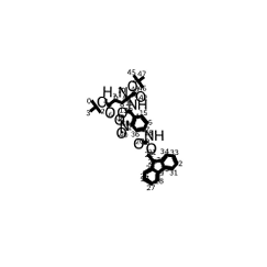 CC(C)(C)OC(=O)CC[C@@](N)(NC(=O)c1ccc(NC(=O)OCC2c3ccccc3-c3ccccc32)cc1[N+](=O)[O-])C(=O)OC(C)(C)C